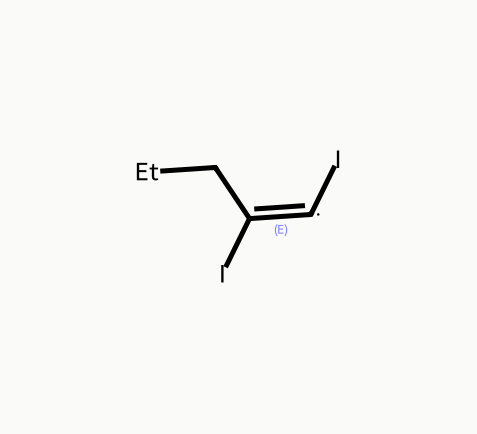 CCC/C(I)=[C]\I